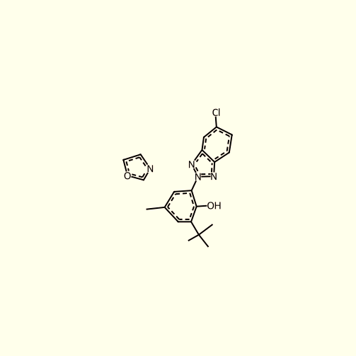 Cc1cc(-n2nc3ccc(Cl)cc3n2)c(O)c(C(C)(C)C)c1.c1cocn1